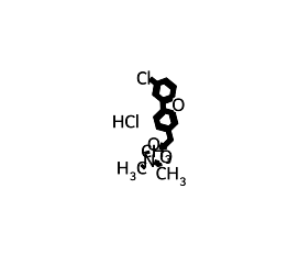 CC(OC(=O)Cc1ccc2c(c1)oc1ccc(Cl)cc12)N(C)C.Cl